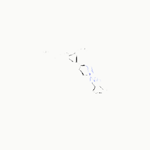 COc1cc(-c2ccc(NCc3cccc(C)c3)nc2)ccc1CCC(=O)O